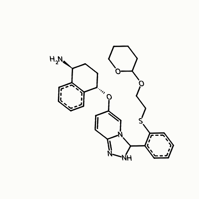 N[C@H]1CC[C@H](OC2=CN3C(=NNC3c3ccccc3SCCOC3CCCCO3)C=C2)c2ccccc21